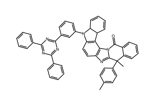 Cc1ccc(C2(C)c3ccccc3C(=O)n3c2nc2ccc4c(c23)C2C=CC=CC2N4c2cccc(-c3nc(-c4ccccc4)nc(-c4ccccc4)n3)c2)cc1